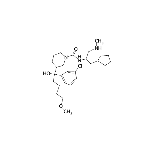 CNCC(CC1CCCC1)NC(=O)N1CCCC(C(O)(CCCCOC)c2cccc(Cl)c2)C1